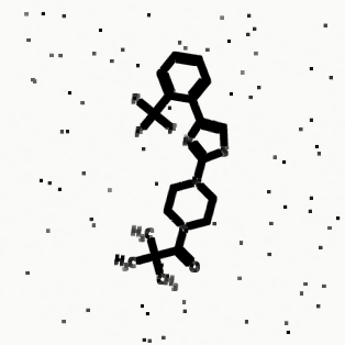 CC(C)(C)C(=O)N1CCN(c2nc(-c3ccccc3C(F)(F)F)cs2)CC1